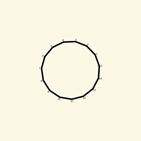 [C]1CCCCCCCCCCCCCC1